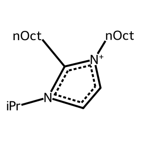 CCCCCCCCc1n(C(C)C)cc[n+]1CCCCCCCC